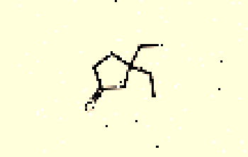 CCC1(CC)CCC(=O)C1